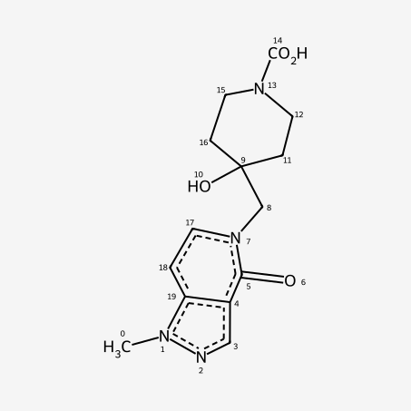 Cn1ncc2c(=O)n(CC3(O)CCN(C(=O)O)CC3)ccc21